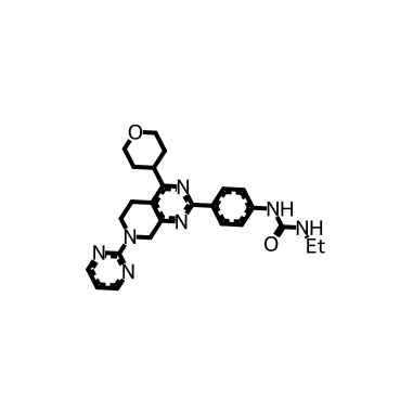 CCNC(=O)Nc1ccc(-c2nc3c(c(C4CCOCC4)n2)CCN(c2ncccn2)C3)cc1